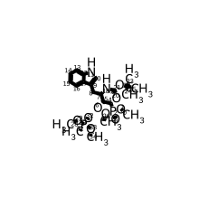 COP(=O)(CC(=O)C(Cc1c[nH]c2ccccc12)NC(=O)OC(C)(C)C)OC.COP(C)(=O)OC